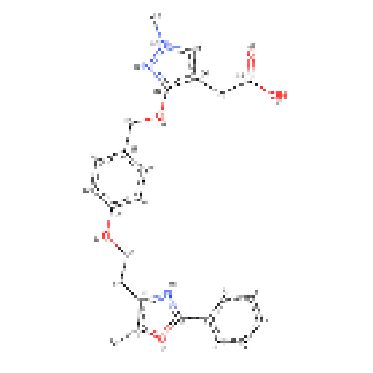 Cc1oc(-c2ccccc2)nc1CCOc1ccc(COc2nn(C)cc2CC(=O)O)cc1